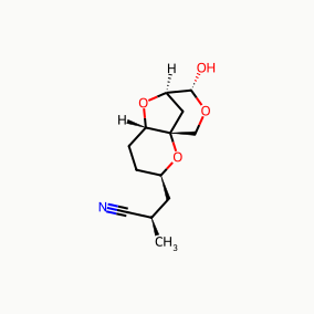 C[C@@H](C#N)C[C@H]1CC[C@@H]2O[C@@H]3C[C@]2(CO[C@H]3O)O1